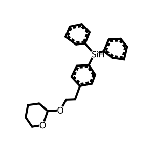 c1ccc([SiH](c2ccccc2)c2ccc(CCOC3CCCCO3)cc2)cc1